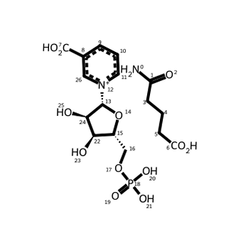 NC(=O)CCCC(=O)O.O=C(O)c1ccc[n+]([C@@H]2O[C@H](COP(=O)(O)O)[C@@H](O)[C@H]2O)c1